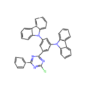 Clc1nc(-c2ccccc2)nc(-c2cc(-n3c4ccccc4c4ccccc43)cc(-n3c4ccccc4c4ccccc43)c2)n1